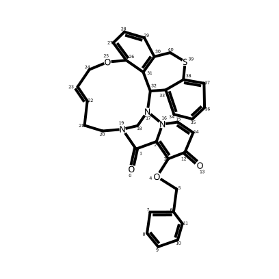 O=C1c2c(OCc3ccccc3)c(=O)ccn2N2CN1CC/C=C/COc1cccc3c1C2c1ccccc1SC3